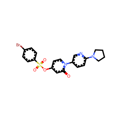 O=c1cc(OS(=O)(=O)c2ccc(Br)cc2)ccn1-c1ccc(N2CCCC2)nc1